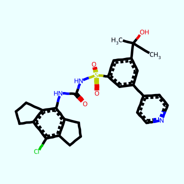 CC(C)(O)c1cc(-c2ccncc2)cc(S(=O)(=O)NC(=O)Nc2c3c(c(Cl)c4c2CCC4)CCC3)c1